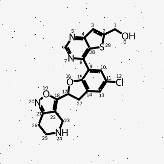 OCc1cc2ncnc(-c3cc(Cl)cc4c3OC(c3onc5c3CNCC5)C4)c2s1